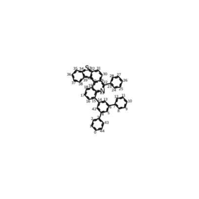 c1ccc(-c2cc(-c3ccccc3)cc(-c3cccc4c3nc(-c3ccccc3)c3ccc5sc6ccccc6c5c34)c2)cc1